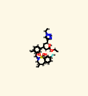 CCOC(=O)CC(CCc1cn(CC)nn1)c1ccc(C)c(CN2CC(C)Cc3ccc(F)cc3S2(O)O)c1